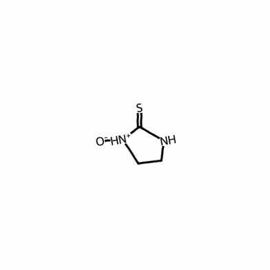 [O-][NH+]1CCNC1=S